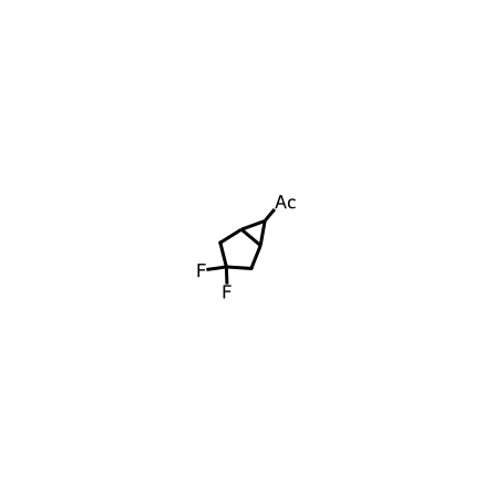 CC(=O)C1C2CC(F)(F)CC21